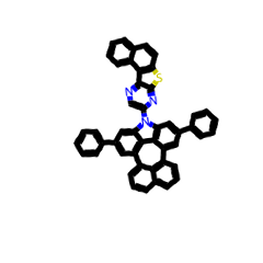 c1ccc(-c2cc3c4c5c(cc(-c6ccccc6)cc5n(-c5cnc6c(n5)sc5ccc7ccccc7c56)c4c2)-c2cccc4cccc-3c24)cc1